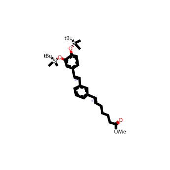 COC(=O)CCCC/C=C/c1cccc(/C=C/c2ccc(O[Si](C)(C)C(C)(C)C)c(O[Si](C)(C)C(C)(C)C)c2)c1